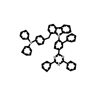 c1ccc(-c2nc(-c3ccccc3)nc(-c3ccc(-n4c5ccccc5c5cccc(Cc6ccc(N(c7ccccc7)c7ccccc7)cc6)c54)c(-c4ccccc4)c3)n2)cc1